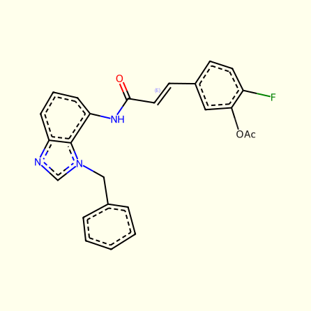 CC(=O)Oc1cc(/C=C/C(=O)Nc2cccc3ncn(Cc4ccccc4)c23)ccc1F